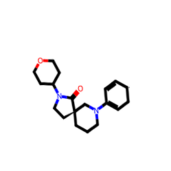 O=C1N(C2CCOCC2)CC[C@@]12CCCN(C1=CC[CH]C=C1)C2